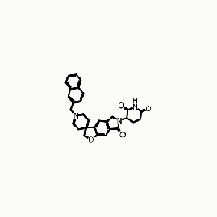 O=C1CCC(N2Cc3cc4c(cc3C2=O)OCC42CCN(Cc3ccc4ccccc4c3)CC2)C(=O)N1